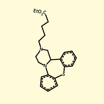 CCOC(=O)CCCCN1CCN2c3ccccc3Sc3ccccc3C2C1